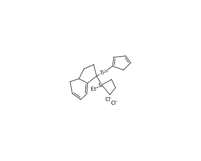 CC[Si]1([C]2([Ti+2][C]3=CC=CC3)CCC3CC=CC=C32)CCC1.[Cl-].[Cl-]